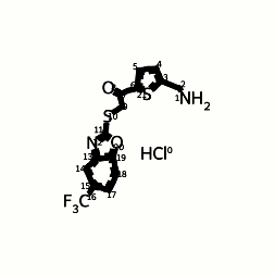 Cl.NCc1ccc(C(=O)CSc2nc3cc(C(F)(F)F)ccc3o2)s1